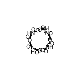 O=C1COC(=O)CNC(=O)COC(=O)CNC(=O)COC(=O)CNC(=O)COC(=O)CN1